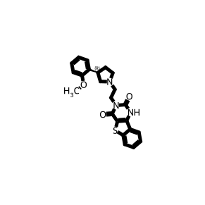 COc1ccccc1[C@H]1CCN(CCn2c(=O)[nH]c3c(sc4ccccc43)c2=O)C1